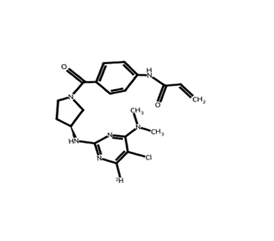 [2H]c1nc(N[C@H]2CCN(C(=O)c3ccc(NC(=O)C=C)cc3)C2)nc(N(C)C)c1Cl